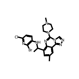 Cc1cc(C(C)Nc2ccc(Cl)nc2Br)c2nc(N3CCN(C)CC3)n3cnnc3c2c1